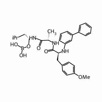 COc1ccc(C[C@H](Nc2cccc(-c3ccccc3)c2)C(=O)N[C@@H](C)C(=O)N[C@@H](CC(C)C)OB(O)O)cc1